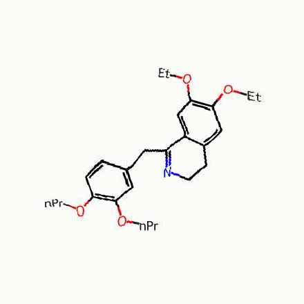 CCCOc1ccc(CC2=NCCc3cc(OCC)c(OCC)cc32)cc1OCCC